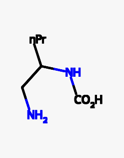 CCCC(CN)NC(=O)O